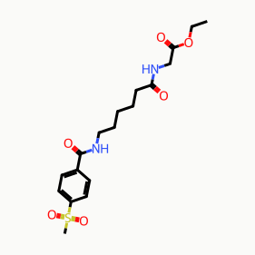 CCOC(=O)CNC(=O)CCCCCNC(=O)c1ccc(S(C)(=O)=O)cc1